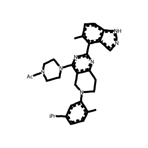 CC(=O)N1CCN(c2nc(-c3c(C)ccc4[nH]ncc34)nc3c2CN(c2cc(C(C)C)ccc2C)CC3)CC1